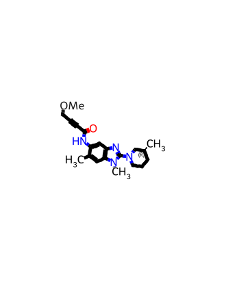 COCC#CC(=O)Nc1cc2nc(N3CCC[C@@H](C)C3)n(C)c2cc1C